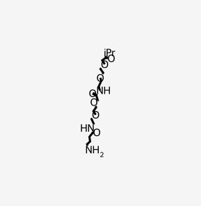 CC(C)C(=O)COCCOCCNC(=O)COCCOCCNC(=O)CCCN